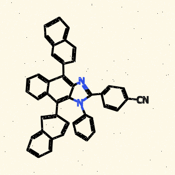 N#Cc1ccc(-c2nc3c(-c4ccc5ccccc5c4)c4ccccc4c(-c4ccc5ccccc5c4)c3n2-c2ccccc2)cc1